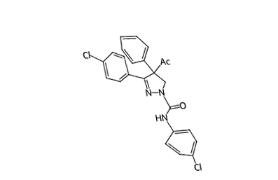 CC(=O)C1(c2ccccc2)CN(C(=O)Nc2ccc(Cl)cc2)N=C1c1ccc(Cl)cc1